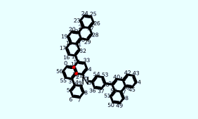 c1ccc(-c2ccccc2N(c2ccc(-c3ccc4ccc5c6ccccc6ccc5c4c3)cc2)c2ccc(-c3cc4ccccc4c4ccccc34)cc2)cc1